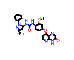 CCSc1cc(Oc2ccnc3[nH]c(=O)cnc23)ccc1NC(=O)Nc1cc(C(C)(C)C)nn1-c1ccccc1